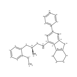 COc1ccccc1C[C@H](N)CNc1nc(-c2ccncc2)nc2sc3c(c12)CCCC3